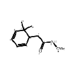 CONC(=O)CC1C=CC=CC1(C)C